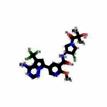 COc1ncc(-c2cc(C(F)(F)F)c3c(N)ncnn23)cc1C(=O)N[C@@H]1CN(C(=O)C(C)(C)O)C[C@@H]1F